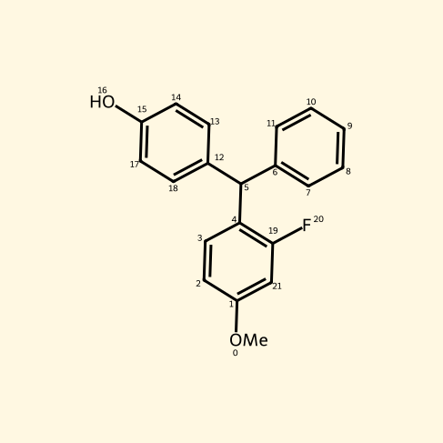 COc1ccc(C(c2ccccc2)c2ccc(O)cc2)c(F)c1